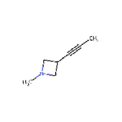 CC#CC1CN(C)C1